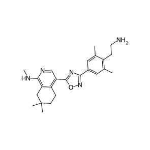 CNc1ncc(-c2nc(-c3cc(C)c(CCN)c(C)c3)no2)c2c1CC(C)(C)CC2